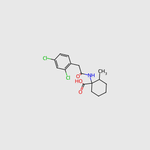 CC1CCCCC1(NC(=O)Cc1ccc(Cl)cc1Cl)C(=O)O